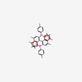 Cc1ccc(P(c2ccc(C)cc2)c2cc(C)c3c(c2-c2c(P(c4ccc(C)cc4)c4ccc(C)cc4)cc(C)c4c2OC(C)(C)O4)OC(C)(C)O3)cc1